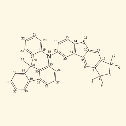 CC1(C)CC(C)(C)c2cc3c(cc21)sc1ccc(N(c2ccccc2)c2cccc4c2C(C)(C)c2ccccc2-4)cc13